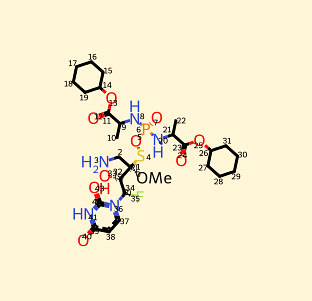 CO[C@](CN)(SOP(=O)(NC(C)C(=O)OC1CCCCC1)NC(C)C(=O)OC1CCCCC1)[C@@H](O)[C@@H](F)n1ccc(=O)[nH]c1=O